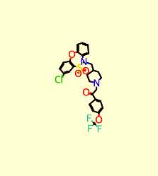 O=C(CN1CCC(CN2c3ccccc3Oc3ccc(Cl)cc3S2(=O)=O)CC1)c1ccc(OC(F)(F)F)cc1